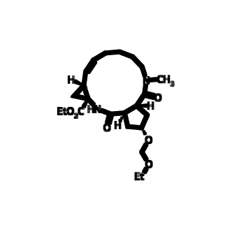 CCOCO[C@@H]1C[C@H]2C(=O)N[C@]3(C(=O)OCC)C[C@@H]3/C=C\CCCCN(C)C(=O)[C@@H]2C1